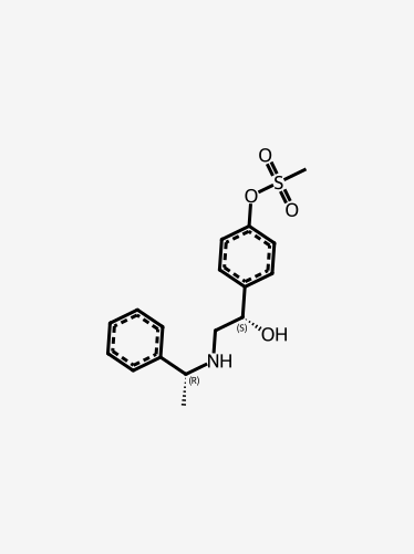 C[C@@H](NC[C@@H](O)c1ccc(OS(C)(=O)=O)cc1)c1ccccc1